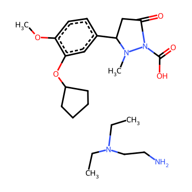 CCN(CC)CCN.COc1ccc(C2CC(=O)N(C(=O)O)N2C)cc1OC1CCCC1